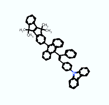 CC1(C)C2=C(c3ccccc31)C(C)(C)c1cc(-c3c4ccccc4c(/C(=C/c4ccc(-n5c6ccccc6c6ccccc65)cc4)c4ccccc4)c4ccccc34)ccc12